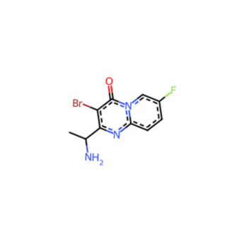 CC(N)c1nc2ccc(F)cn2c(=O)c1Br